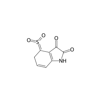 O=C1NC2=C(C1=O)C(=S(=O)=O)CC=C2